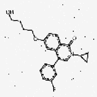 O=c1c2ccc(OCCCCO)cc2c(-c2cccc(F)c2)cn1C1CC1